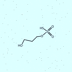 O=S(=O)(S)OCCCO